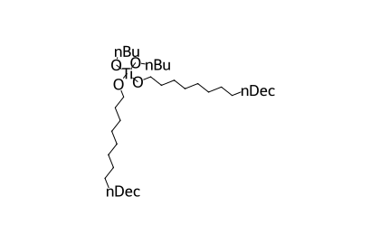 CCCCCCCCCCCCCCCCCC[O][Ti]([O]CCCC)([O]CCCC)[O]CCCCCCCCCCCCCCCCCC